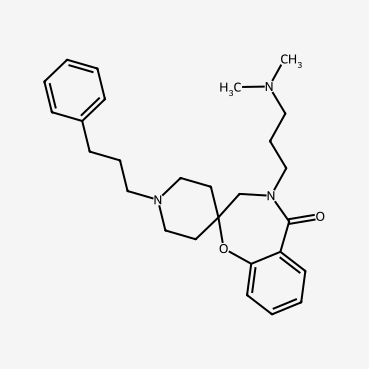 CN(C)CCCN1CC2(CCN(CCCc3ccccc3)CC2)Oc2ccccc2C1=O